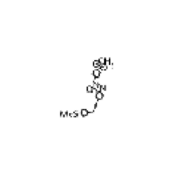 CSc1ccc(CC#Cc2ccc3ncn(Cc4ccc(S(C)(=O)=O)cc4)c(=O)c3c2)cc1